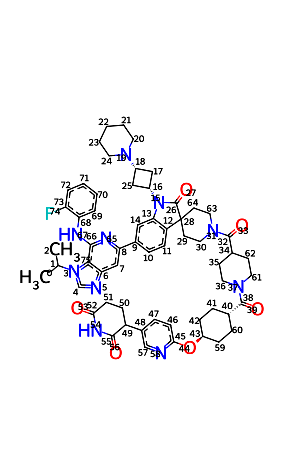 CC(C)n1cnc2cc(-c3ccc4c(c3)N([C@H]3C[C@@H](N5CCCCC5)C3)C(=O)C43CCN(C(=O)C4CCN(C(=O)[C@H]5CC[C@H](Oc6ccc(C7CCC(=O)NC7=O)cn6)CC5)CC4)CC3)nc(Nc3ccccc3F)c21